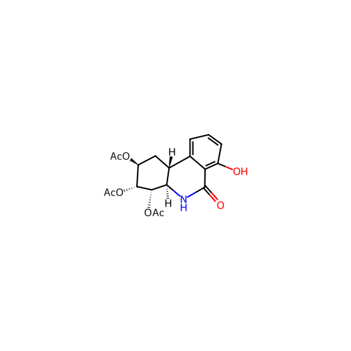 CC(=O)O[C@H]1[C@@H]2NC(=O)c3c(O)cccc3[C@H]2C[C@H](OC(C)=O)[C@H]1OC(C)=O